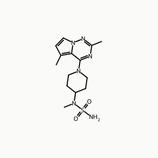 Cc1nc(N2CCC(N(C)S(N)(=O)=O)CC2)c2c(C)ccn2n1